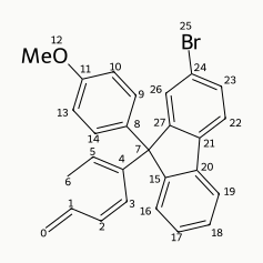 C=C/C=C\C(=C/C)C1(c2ccc(OC)cc2)c2ccccc2-c2ccc(Br)cc21